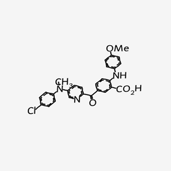 COc1ccc(Nc2ccc(C(=O)c3ccc(N(C)c4ccc(Cl)cc4)cn3)cc2C(=O)O)cc1